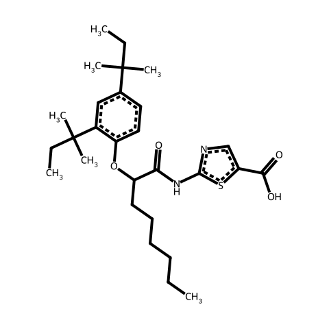 CCCCCCC(Oc1ccc(C(C)(C)CC)cc1C(C)(C)CC)C(=O)Nc1ncc(C(=O)O)s1